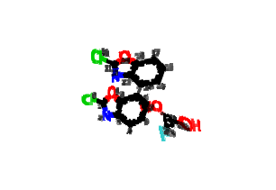 Clc1nc2ccccc2o1.Clc1nc2ccccc2o1.OB(O)F